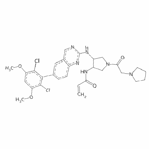 C=CC(=O)NC1CN(C(=O)CN2CCCC2)CC1Nc1ncc2cc(-c3c(Cl)c(OC)cc(OC)c3Cl)ccc2n1